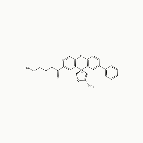 NC1=N[C@@]2(CO1)c1cc(-c3cccnc3)ccc1Oc1cnc(C(=O)CCCCO)cc12